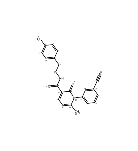 Cc1ccc(CCNC(=O)c2ccc(C)n(-c3cccc(C#N)c3)c2=O)cc1